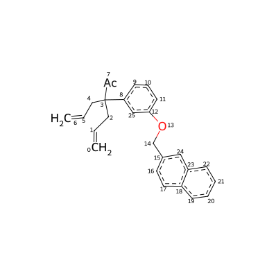 C=CCC(CC=C)(C(C)=O)c1cccc(OCc2ccc3ccccc3c2)c1